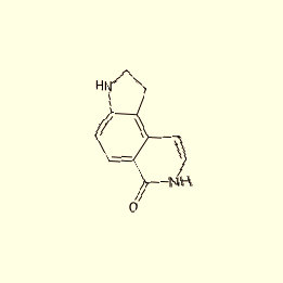 O=c1[nH]ccc2c3c(ccc12)NCC3